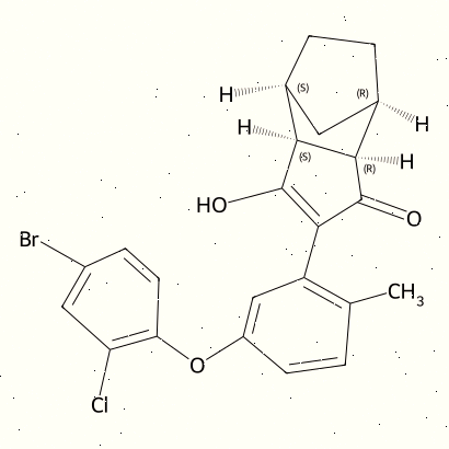 Cc1ccc(Oc2ccc(Br)cc2Cl)cc1C1=C(O)[C@H]2[C@H]3CC[C@H](C3)[C@H]2C1=O